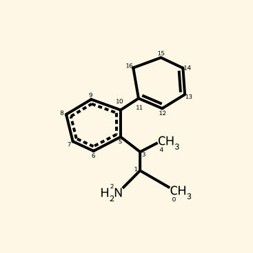 CC(N)C(C)c1ccccc1C1=CC=CCC1